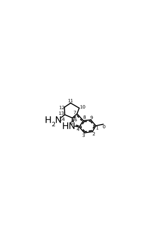 Cc1ccc2[nH]c3c(c2c1)CCCC3N